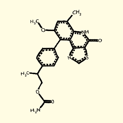 COc1cc(C)c2[nH]c(=O)c3scnc3c2c1-c1ccc(C(C)COC(N)=O)cc1